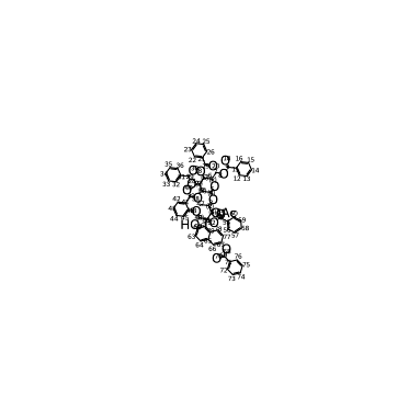 CC(=O)O[C@H]1[C@H](O[C@@H]2O[C@H](COC(=O)c3ccccc3)[C@H](OC(=O)c3ccccc3)[C@H](OC(=O)c3ccccc3)[C@H]2OC(=O)c2ccccc2)CO[C@@H](O)[C@@]1(OC(=O)c1ccccc1)c1cccc2cc(OC(=O)c3ccccc3)ccc12